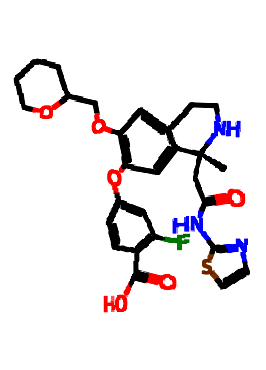 C[C@]1(CC(=O)Nc2nccs2)NCCc2cc(OCC3CCCCO3)c(Oc3ccc(C(=O)O)c(F)c3)cc21